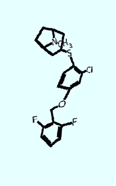 CN1C2CCC1CC(Sc1ccc(OCc3c(F)cccc3F)cc1Cl)C2